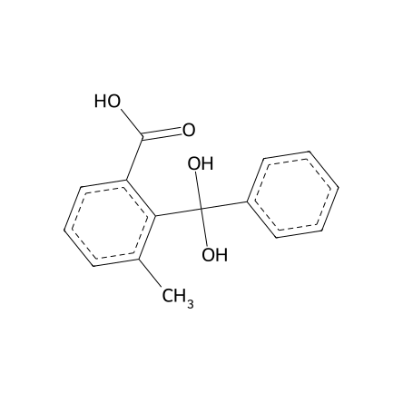 Cc1cccc(C(=O)O)c1C(O)(O)c1ccccc1